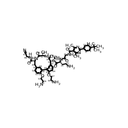 Cc1nc(-c2ccc(C(C)(C)C)cc2)nc(C)c1C(=O)NCC(=O)N[C@@H](CCN)C(=O)N(C)[C@@H]1C(=O)N[C@@H](C)C(=O)N[C@H](C(=O)NCC#N)Cc2ccc(OCCN)c(c2)-c2cc1ccc2OCCN